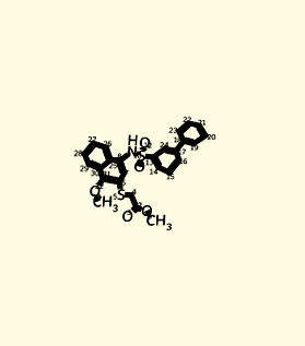 COC(=O)CSc1cc(NS(=O)(=O)c2cccc(-c3ccccc3)c2)c2ccccc2c1OC